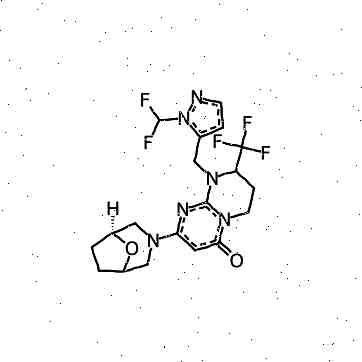 O=c1cc(N2CC3CC[C@@H](C2)O3)nc2n1CCC(C(F)(F)F)N2Cc1ccnn1C(F)F